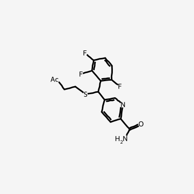 CC(=O)CCSC(c1ccc(C(N)=O)nc1)c1c(F)ccc(F)c1F